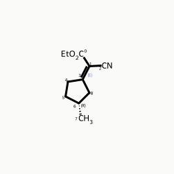 CCOC(=O)/C(C#N)=C1\CC[C@@H](C)C1